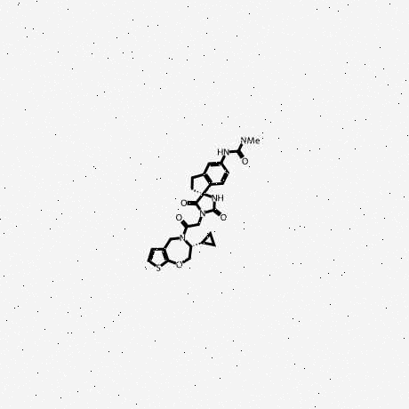 CNC(=O)Nc1ccc2c(c1)CC[C@@]21NC(=O)N(CC(=O)N2Cc3ccsc3OC[C@H]2C2CC2)C1=O